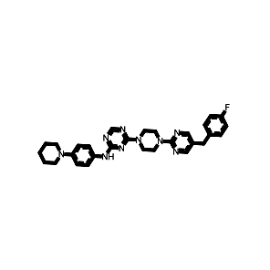 Fc1ccc(Cc2cnc(N3CCN(c4ncnc(Nc5ccc(N6CCCCC6)cc5)n4)CC3)nc2)cc1